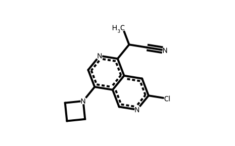 CC(C#N)c1ncc(N2CCC2)c2cnc(Cl)cc12